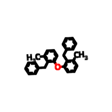 Cc1cccc(Oc2cccc(C)c2Cc2ccccc2)c1Cc1ccccc1